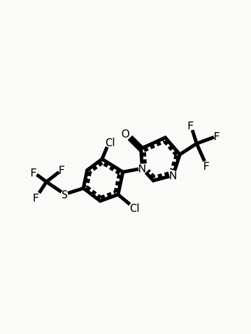 O=c1cc(C(F)(F)F)ncn1-c1c(Cl)cc(SC(F)(F)F)cc1Cl